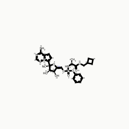 C[C@H](NP(=O)(O/C=C1/O[C@@](C#N)(c2ccc3c(N)ncnn23)[C@H](O)[C@@H]1O)Oc1ccccc1)C(=O)OCC1CCC1